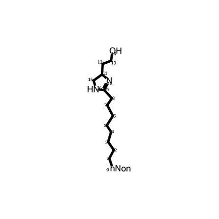 CCCCCCCCCCCCCCCCCC1=NC(CCO)CN1